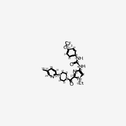 CCn1cc(NC(=O)Nc2ccc(OC(F)(F)F)cc2)nc1C(=O)N1CCN(c2ccc(C)cn2)CC1